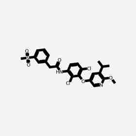 COc1ncc(Oc2c(Cl)ccc(NC(=O)Cc3cccc(S(C)(=O)=O)c3)c2Cl)cc1C(C)C